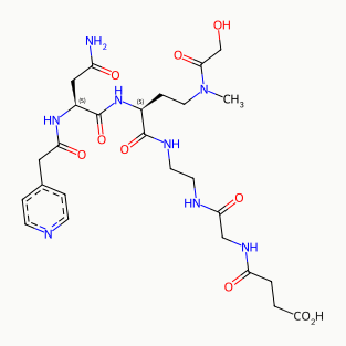 CN(CC[C@H](NC(=O)[C@H](CC(N)=O)NC(=O)Cc1ccncc1)C(=O)NCCNC(=O)CNC(=O)CCC(=O)O)C(=O)CO